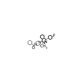 CC1CN(C(=O)C2CCCCC2)CCN1c1nnc(-c2ccc(F)cc2)c2ccccc12